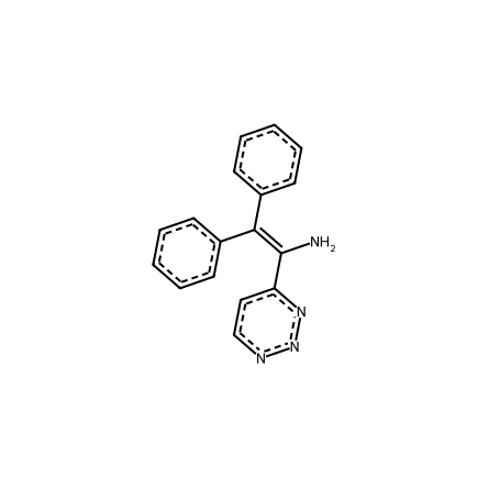 NC(=C(c1ccccc1)c1ccccc1)c1ccnnn1